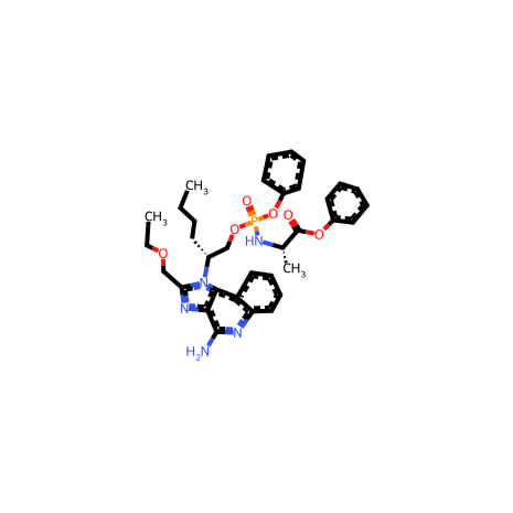 CCCC[C@H](COP(=O)(N[C@@H](C)C(=O)Oc1ccccc1)Oc1ccccc1)n1c(COCC)nc2c(N)nc3ccccc3c21